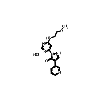 COCCNc1cc(-n2[nH]cc(-c3cccnc3)c2=O)ncn1.Cl